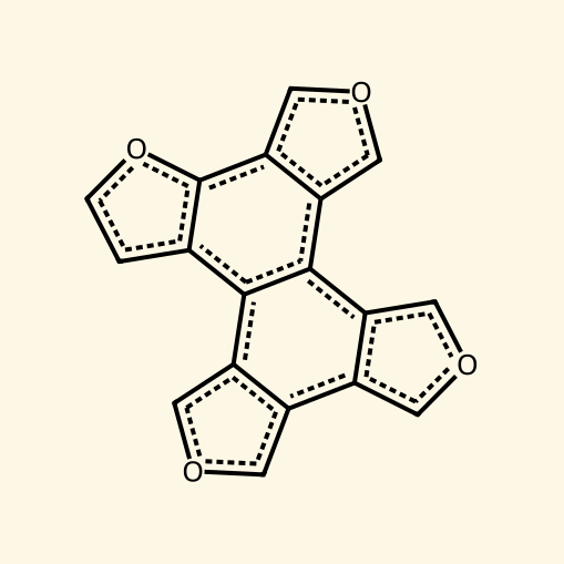 c1cc2c(o1)c1cocc1c1c3cocc3c3cocc3c21